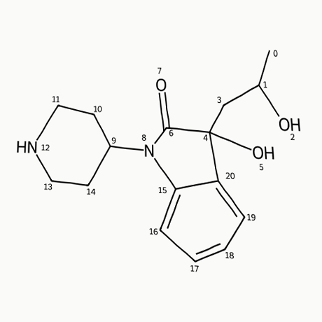 CC(O)CC1(O)C(=O)N(C2CCNCC2)c2ccccc21